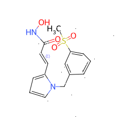 CS(=O)(=O)c1cccc(Cn2cccc2/C=C/C(=O)NO)c1